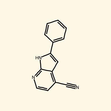 N#Cc1ccnc2[nH]c(-c3ccccc3)cc12